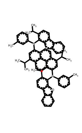 Cc1cccc(N(c2cc(C(C)C)c3ccc4c(N(c5cccc(C)c5)c5c(C(C)C)ccc6c5oc5ccccc56)cc(C(C)C)c5ccc2c3c54)c2c(C(C)C)ccc3c2oc2ccccc23)c1